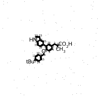 CC(Cc1ccc(OCc2ccc(C(C)(C)C)cc2)c(-c2ccc3[nH]ccc3c2)c1)C(=O)O